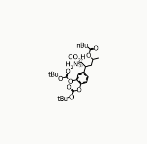 CCCCC(=O)OC(C)CC(c1ccc(OC(=O)OC(C)(C)C)c(OC(=O)OC(C)(C)C)c1)[C@H](N)C(=O)O